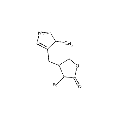 CCC1C(=O)OCC1CC1=CN=CC1C